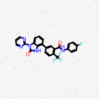 O=C(Nc1ccc(F)cc1)c1cc(-c2cccc3c2[nH]c(=O)n3-c2ncccn2)ccc1C(F)(F)F